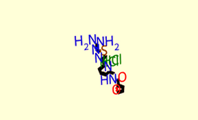 Cl.Cl.NC(N)=Nc1nc(-c2cccc(CNC(=O)c3ccco3)n2)cs1